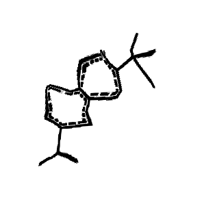 CC(C)c1ccc2cnc(C(C)(C)C)cc2c1